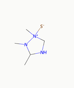 CC1NC[N+](C)([S-])N1C